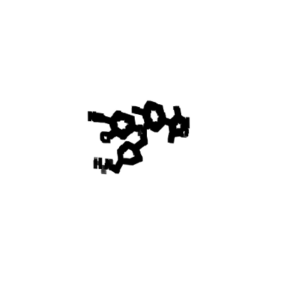 Cc1ccc(-c2c(C)noc2C)cc1N(CC1CCC(CN)CC1)c1ccc(C#N)c(Cl)c1